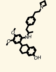 COc1cc(NC(C)Cc2ccc(CCN3CCC3)cc2)c(C2CCc3cc(O)ccc3C2)cc1OC